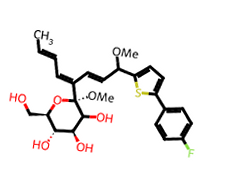 C/C=C/C=C(\C=C\C(OC)c1ccc(-c2ccc(F)cc2)s1)[C@]1(OC)O[C@H](CO)[C@@H](O)[C@H](O)C1O